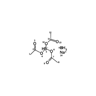 B.CC(=O)O[BH-](OC(C)=O)OC(C)=O.[Na+]